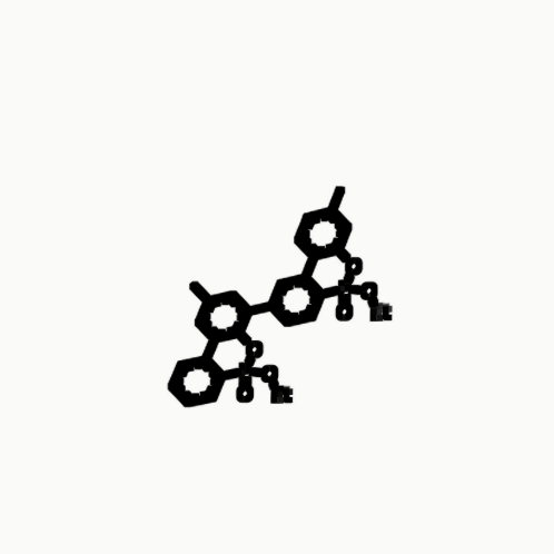 CCOP1(=O)Oc2cc(C)ccc2-c2cc(-c3cc(C)cc4c3OP(=O)(OCC)c3ccccc3-4)ccc21